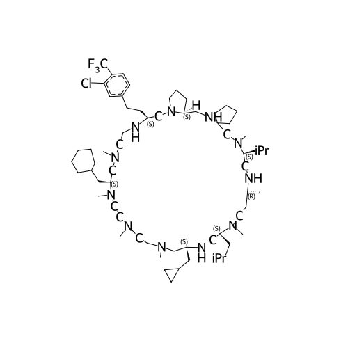 CC(C)C[C@H]1CN[C@@H](CC2CC2)CN(C)CCN(C)CCN(C)[C@@H](CC2CCCCC2)CN(C)CCN[C@@H](CCc2ccc(C(F)(F)F)c(Cl)c2)CN2CCC[C@H]2CNC2(CCCC2)CN(C)[C@@H](C(C)C)CN[C@H](C)CCN1C